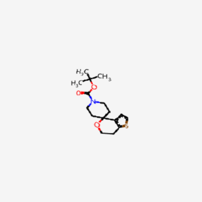 CC(C)(C)OC(=O)N1CCC2(CC1)OCCc1sccc12